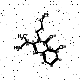 CCOCCn1c([C@H](C)N)nc2cccc(Cl)c2c1=O